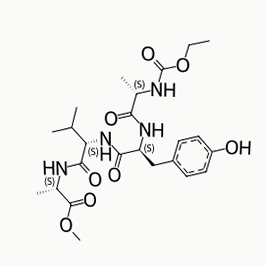 CCOC(=O)N[C@@H](C)C(=O)N[C@@H](Cc1ccc(O)cc1)C(=O)N[C@H](C(=O)N[C@@H](C)C(=O)OC)C(C)C